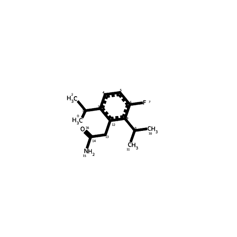 CC(C)c1ccc(F)c(C(C)C)c1CC(N)=O